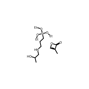 CC1=COC1=O.CCO[Si](CCCNCC(C)O)(OCC)OCC